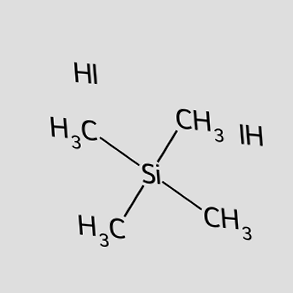 C[Si](C)(C)C.I.I